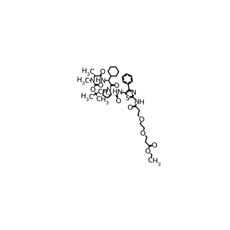 CCOC(=O)CCOCCOCCC(=O)Nc1nc(-c2ccccc2)c(NC(=O)[C@@H]2CCCN2C(=O)[C@@H](NC(=O)[C@H](C)N(C)C(=O)OC(C)(C)C)C2CCCCC2)s1